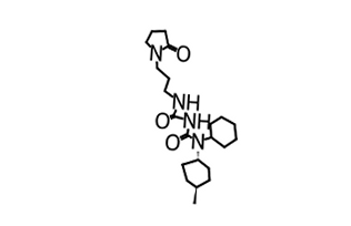 C[C@H]1CC[C@H](N(C(=O)NC(=O)NCCCN2CCCC2=O)C2CCCCC2)CC1